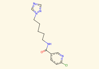 O=C(NCCCCCn1cncn1)c1ccc(Cl)nc1